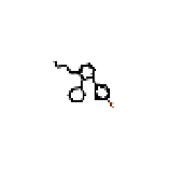 CCCCc1cccc(-c2ccc([S])cc2)c1C1CCCCC1